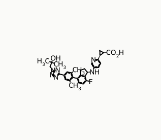 Cc1cc(-c2nnn(CC(C)(C)O)n2)cc(C)c1-c1ccc(F)c2c1CC[C@H]2Nc1ccc([C@H]2C[C@@H]2C(=O)O)nc1